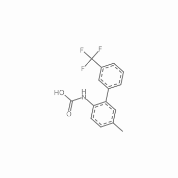 Cc1ccc(NC(=O)O)c(-c2cccc(C(F)(F)F)c2)c1